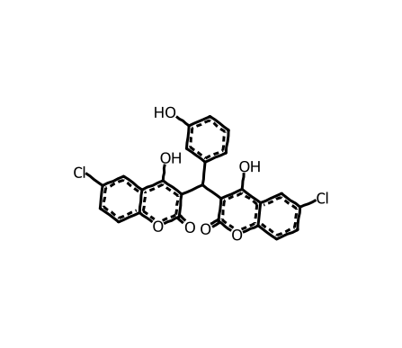 O=c1oc2ccc(Cl)cc2c(O)c1C(c1cccc(O)c1)c1c(O)c2cc(Cl)ccc2oc1=O